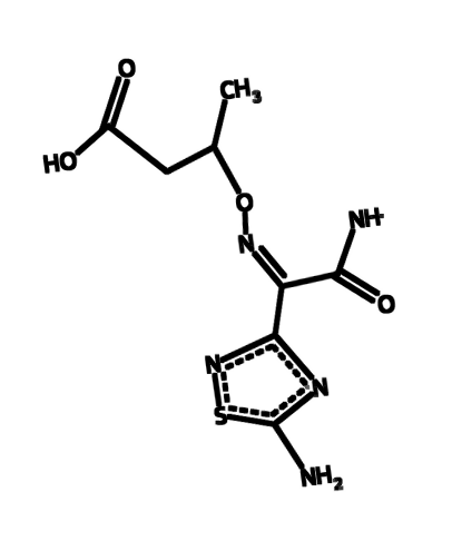 CC(CC(=O)O)ON=C(C([NH])=O)c1nsc(N)n1